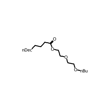 CCCCCCCCCCCCCC(=O)OCCOCCOCCCC